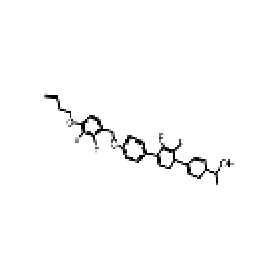 C=CCCOc1ccc(COc2ccc(C3=CCC(C4=CCC(C(C)O)C=C4)C(F)=C3F)cc2)c(F)c1F